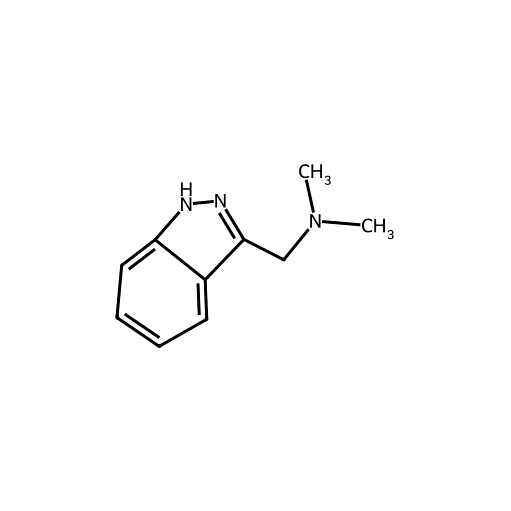 CN(C)Cc1n[nH]c2ccccc12